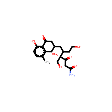 Cc1ccc(O)c2c1CC(CC(CCO)[C@](O)(CO)C(=O)CC(N)=O)CC2=O